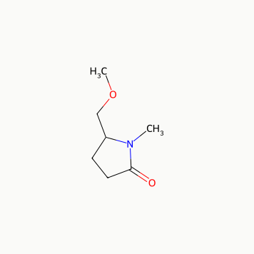 COCC1CCC(=O)N1C